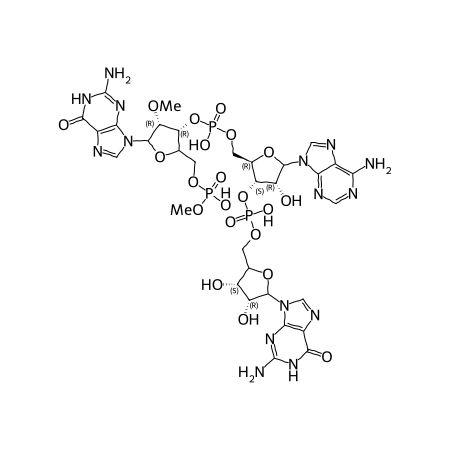 CO[C@H]1C(n2cnc3c(=O)[nH]c(N)nc32)OC(COP(=O)(O)OC)[C@H]1OP(=O)(O)OC[C@H]1OC(n2cnc3c(N)ncnc32)[C@H](O)[C@@H]1OP(=O)(O)OCC1OC(n2cnc3c(=O)[nH]c(N)nc32)[C@H](O)[C@@H]1O